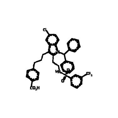 O=C(O)c1ccc(CCCc2c(CCNS(=O)(=O)c3cccc(C(F)(F)F)c3)n(C(c3ccccc3)c3ccccc3)c3ccc(Cl)cc23)cc1